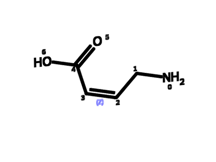 NC/C=C\C(=O)O